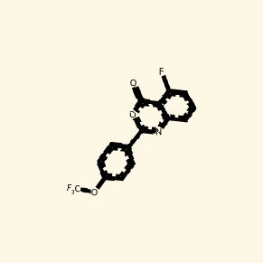 O=c1oc(-c2ccc(OC(F)(F)F)cc2)nc2cccc(F)c12